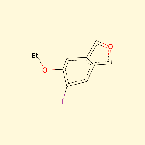 CCOc1cc2cocc2cc1I